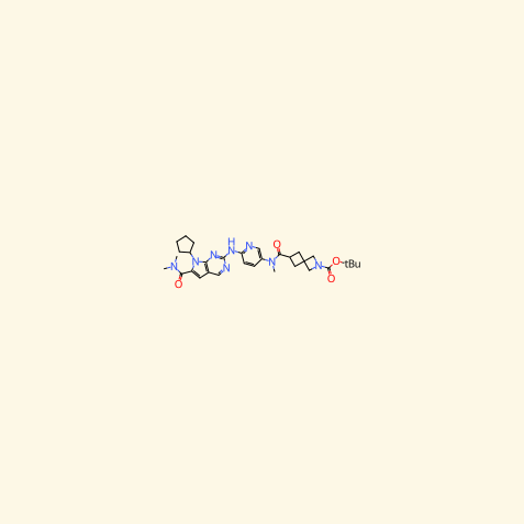 CN(C)C(=O)c1cc2cnc(Nc3ccc(N(C)C(=O)C4CC5(C4)CN(C(=O)OC(C)(C)C)C5)cn3)nc2n1C1CCCC1